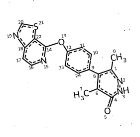 Cc1n[nH]c(=O)c(C)c1-c1ccc(Oc2nccc3ncsc23)cc1